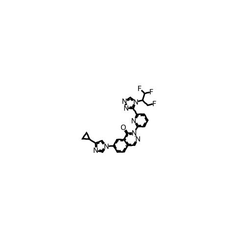 O=c1c2cc(-n3cnc(C4CC4)c3)ccc2cnn1-c1cccc(-c2nncn2C(CF)C(F)F)n1